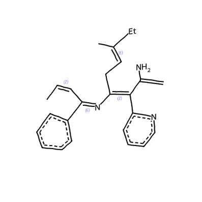 C=C(N)/C(=C(C/C=C(\C)CC)/N=C(\C=C/C)c1ccccc1)c1ccccn1